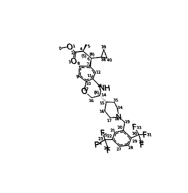 COC(=O)[C@@H](C)[C@H](c1ccc2c(c1)N[C@H](C1CCN(Cc3cc(C(F)(F)F)ccc3C(F)(F)F)CC1)CO2)C1CC1